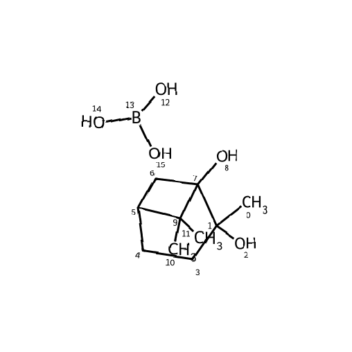 CC1(O)CCC2CC1(O)C2(C)C.OB(O)O